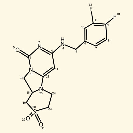 O=c1nc(NCc2ccc(F)c(F)c2)cc2n1CC1CS(=O)(=O)CCN21